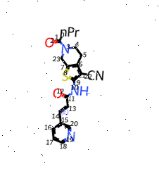 CCCC(=O)N1CCc2c(sc(NC(=O)/C=C/c3cccnc3)c2C#N)C1